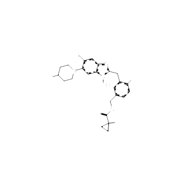 Cn1c(Cc2cc(CNC(=O)C3(C(F)(F)F)CC3)ccc2C(F)(F)F)nc2cc(Cl)c(N3CCC(C(F)(F)F)CC3)cc21